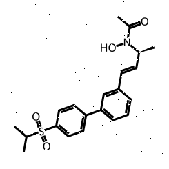 CC(=O)N(O)[C@@H](C)/C=C/c1cccc(-c2ccc(S(=O)(=O)C(C)C)cc2)c1